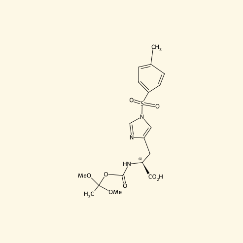 COC(C)(OC)OC(=O)N[C@@H](Cc1cn(S(=O)(=O)c2ccc(C)cc2)cn1)C(=O)O